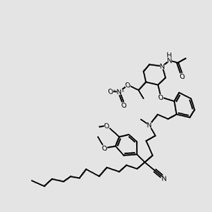 CCCCCCCCCCCCC(C#N)(CCCN(C)CCc1ccccc1OC1CN(NC(C)=O)CCC1C(C)O[N+](=O)[O-])c1ccc(OC)c(OC)c1